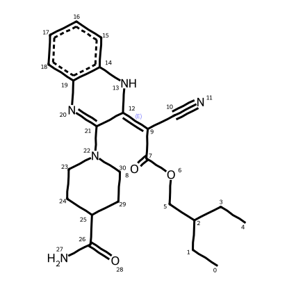 CCC(CC)COC(=O)/C(C#N)=C1/Nc2ccccc2N=C1N1CCC(C(N)=O)CC1